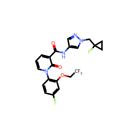 O=C(Nc1cnn(CC2(F)CC2)c1)c1cccn(-c2ccc(F)cc2OCC(F)(F)F)c1=O